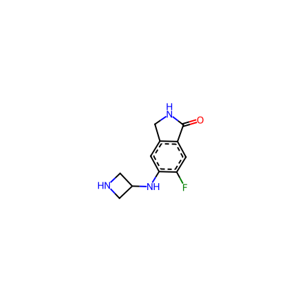 O=C1NCc2cc(NC3CNC3)c(F)cc21